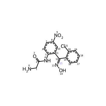 NCC(=O)Nc1ccc([N+](=O)[O-])cc1/C(=N/O)c1ccccc1Cl